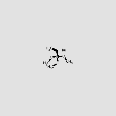 C=C[Si](OC)(OC)OC.[Ru]